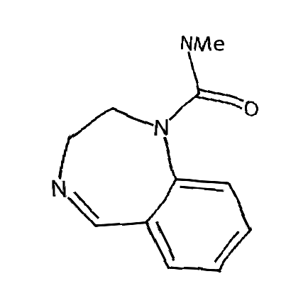 CNC(=O)N1CCN=Cc2ccccc21